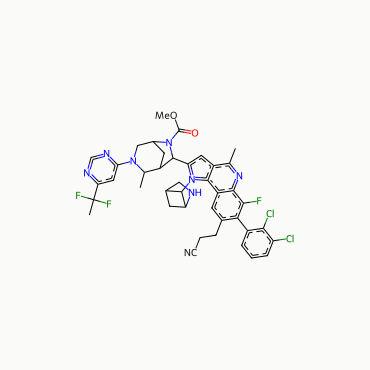 COC(=O)N1C2CC(C(C)N(c3cc(C(C)(F)F)ncn3)C2)C1c1cc2c(C)nc3c(F)c(-c4cccc(Cl)c4Cl)c(CCC#N)cc3c2n1C1C2CNC1C2